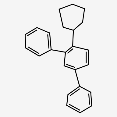 c1ccc(-c2ccc(C3CCCCC3)c(-c3ccccc3)c2)cc1